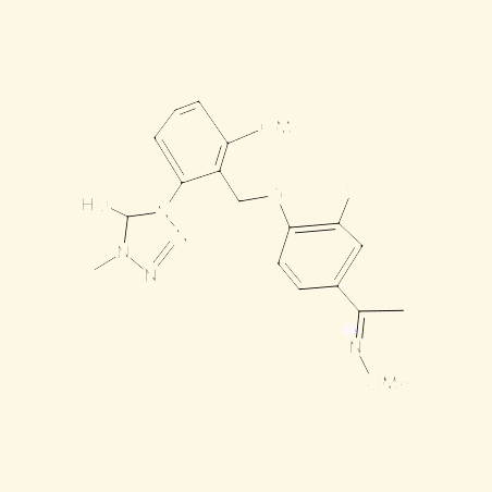 CO/N=C(\C)c1ccc(OCc2c(OC)cccc2N2N=NN(C)C2O)c(C(F)(F)F)c1